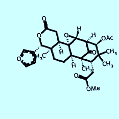 COC(=O)C[C@H]1C(C)(C)[C@H](OC(C)=O)[C@H]2C(=O)[C@]1(C)[C@H]1CC[C@]3(C)[C@@H](CC(=O)O[C@H]3c3ccoc3)[C@]13O[C@H]23